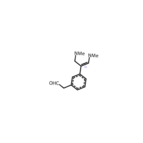 CN/C=C(\CNC)c1cccc(CC=O)c1